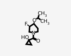 CC(C)O[C@H]1CCN(C(=O)C2(O)CC2)C[C@H]1F